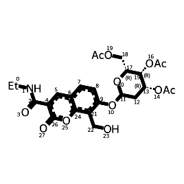 CCNC(=O)c1cc2ccc(OC3C[C@@H](OC(C)=O)[C@@H](OC(C)=O)[C@@H](COC(C)=O)O3)c(CO)c2oc1=O